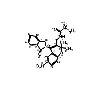 CCN(C)C(=O)NCC1=C(N2Cc3ccccc3C2=O)c2cc([N+](=O)[O-])ccc2OC1(C)C